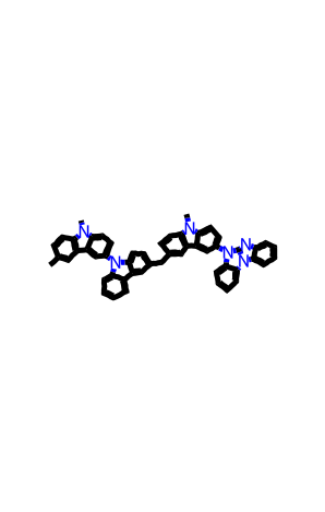 Cc1ccc2c(c1)c1cc(-n3c4ccccc4c4cc(Cc5ccc6c(c5)c5cc(-n7c8ccccc8n8c9ccccc9nc78)ccc5n6C)ccc43)ccc1n2C